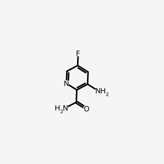 NC(=O)c1ncc(F)cc1N